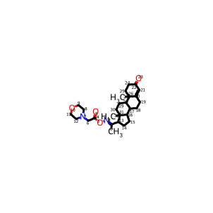 CC(=NOC(=O)CN1CCOCC1)C1CCC2C3CCC4=CC(=O)CCC4(C)C3CCC12C